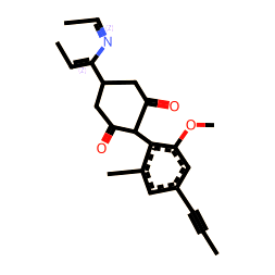 CC#Cc1cc(C)c(C2C(=O)CC(C(=C/C)/N=C\C)CC2=O)c(OC)c1